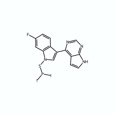 Fc1ccc2c(-c3ncnc4[nH]ccc34)cn(SP(I)I)c2c1